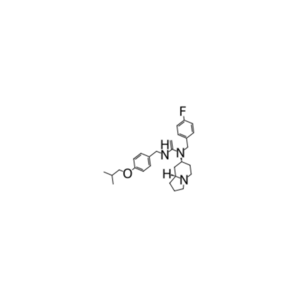 C=C(NCc1ccc(OCC(C)C)cc1)N(Cc1ccc(F)cc1)[C@H]1CCN2CCC[C@@H]2C1